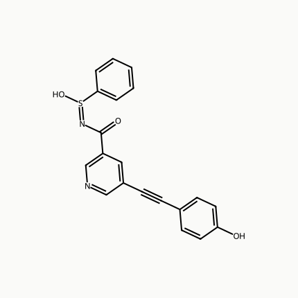 O=C(/N=S(/O)c1ccccc1)c1cncc(C#Cc2ccc(O)cc2)c1